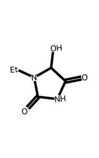 CCN1C(=O)NC(=O)C1O